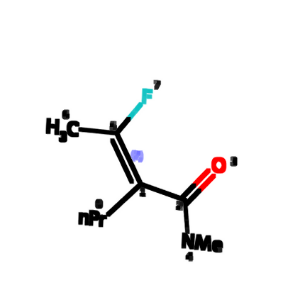 CCC/C(C(=O)NC)=C(\C)F